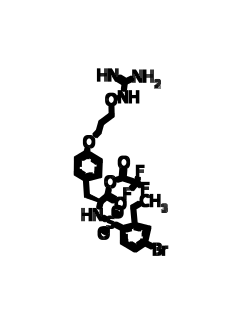 CCc1cc(Br)ccc1S(=O)(=O)N[C@@H](Cc1ccc(OCCCONC(=N)N)cc1)C(=O)OC(=O)C(F)(F)F